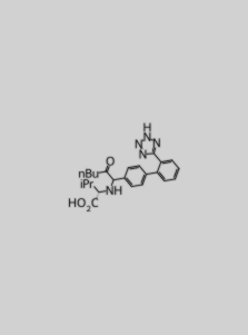 CCCCC(=O)C(N[C@H](C(=O)O)C(C)C)c1ccc(-c2ccccc2-c2nn[nH]n2)cc1